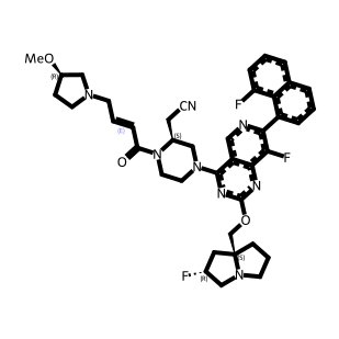 CO[C@@H]1CCN(C/C=C/C(=O)N2CCN(c3nc(OC[C@@]45CCCN4C[C@H](F)C5)nc4c(F)c(-c5cccc6cccc(F)c56)ncc34)C[C@@H]2CC#N)C1